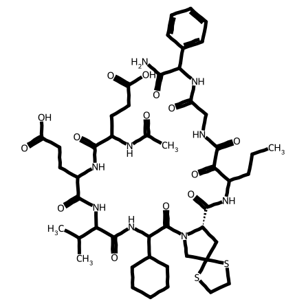 CCCC(NC(=O)[C@@H]1CC2(CN1C(=O)C(NC(=O)C(NC(=O)C(CCC(=O)O)NC(=O)C(CCC(=O)O)NC(C)=O)C(C)C)C1CCCCC1)SCCS2)C(=O)C(=O)NCC(=O)NC(C(N)=O)c1ccccc1